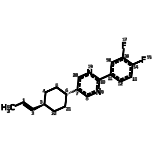 CC=C[C@H]1CC[C@H](c2cnc(-c3ccc(F)c(F)c3)nc2)CC1